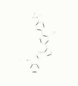 COc1cc(-c2sc(Cl)cc2NC(=O)O[C@H](C)c2ccccc2)ccc1-c1ccc(C2(C(C)=O)CC2)cc1